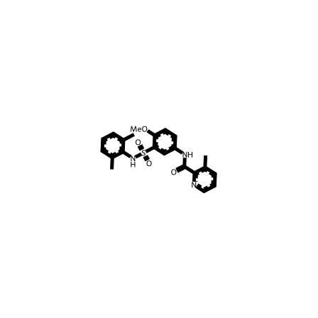 COc1ccc(NC(=O)c2ncccc2C)cc1S(=O)(=O)Nc1c(C)cccc1C